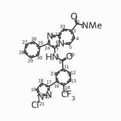 CNC(=O)c1ccn2c(NC(=O)c3ccc(C(F)(F)F)c(-c4ccn(Cl)n4)c3)c(-c3ccccc3)nc2c1